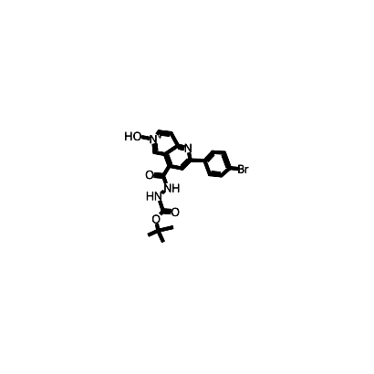 CC(C)(C)OC(=O)NNC(=O)c1cc(-c2ccc(Br)cc2)nc2cc[n+](O)cc12